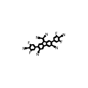 N#CC(C#N)=C1c2cc(-c3cc(F)c(C#N)c(F)c3)c(C#N)cc2-c2cc(C#N)c(-c3cc(F)c(C#N)c(F)c3)cc21